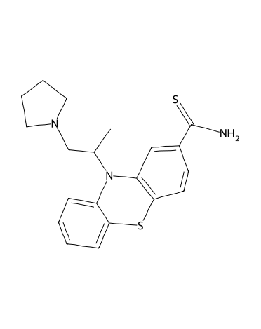 CC(CN1CCCC1)N1c2ccccc2Sc2ccc(C(N)=S)cc21